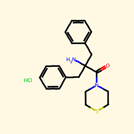 Cl.NC(Cc1ccccc1)(Cc1ccccc1)C(=O)N1CCSCC1